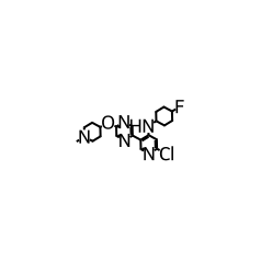 CN1CCC(Oc2cnc(-c3cnc(Cl)cc3NC3CCC(F)CC3)cn2)CC1